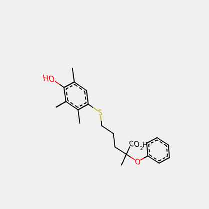 Cc1cc(SCCCC(C)(Oc2ccccc2)C(=O)O)c(C)c(C)c1O